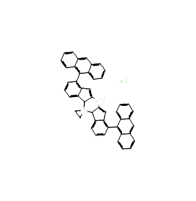 CC1=Cc2c(-c3c4ccccc4cc4ccccc34)cccc2[CH]1[Ti+2]1([CH]2C(C)=Cc3c(-c4c5ccccc5cc5ccccc45)cccc32)[CH2][CH2]1.[Cl-].[Cl-]